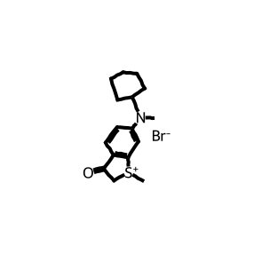 CN(c1ccc2c(c1)[S+](C)CC2=O)C1CCCCC1.[Br-]